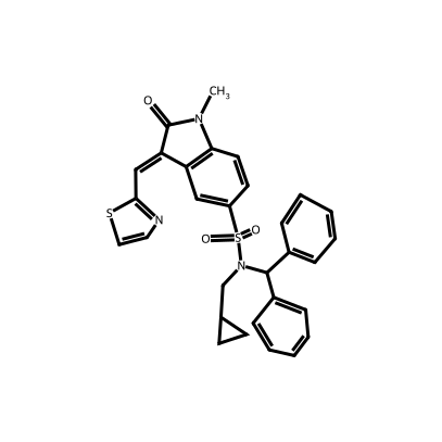 CN1C(=O)/C(=C/c2nccs2)c2cc(S(=O)(=O)N(CC3CC3)C(c3ccccc3)c3ccccc3)ccc21